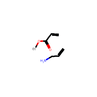 C=CC(=O)OCC.C=CCN